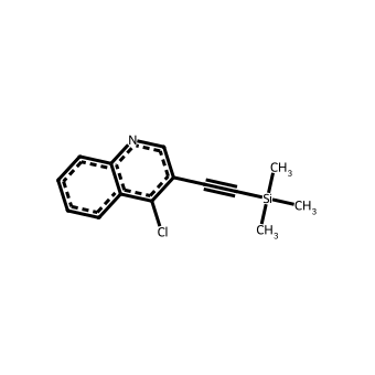 C[Si](C)(C)C#Cc1cnc2ccccc2c1Cl